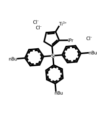 CCCCc1ccc([Si](C2=C(C(C)C)[C]([Ti+3])=CC2)(c2ccc(CCCC)cc2)c2ccc(CCCC)cc2)cc1.[Cl-].[Cl-].[Cl-]